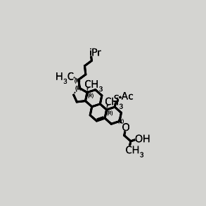 CC(=O)SC1C[C@H](OCC(C)O)CC2=CCC3C(CC[C@@]4(C)C3CC[C@@H]4[C@H](C)CCCC(C)C)[C@]21C